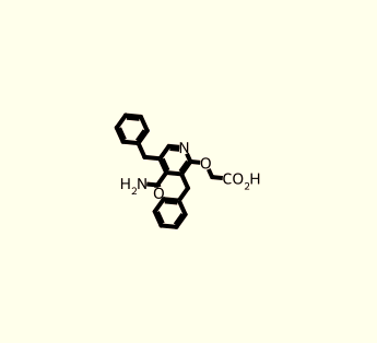 NC(=O)c1c(Cc2ccccc2)cnc(OCC(=O)O)c1Cc1ccccc1